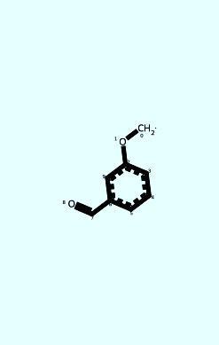 [CH2]Oc1cccc(C=O)c1